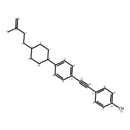 C=C(C)CCC1CCC(c2ccc(C#Cc3ccc(C#N)cc3)cc2)CC1